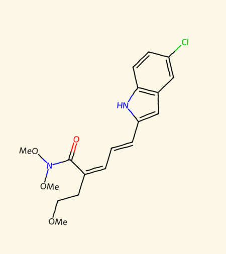 COCCC(=CC=Cc1cc2cc(Cl)ccc2[nH]1)C(=O)N(OC)OC